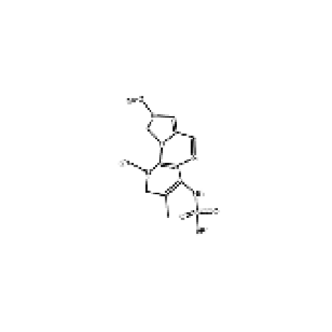 CCCN1CC(C)=C(NS(=O)(=O)CCC)C2=C1N1CN(OC)C=C1C=N2